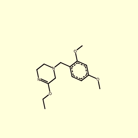 CCOC1=NCCN(Cc2ccc(OC)cc2OC)C1